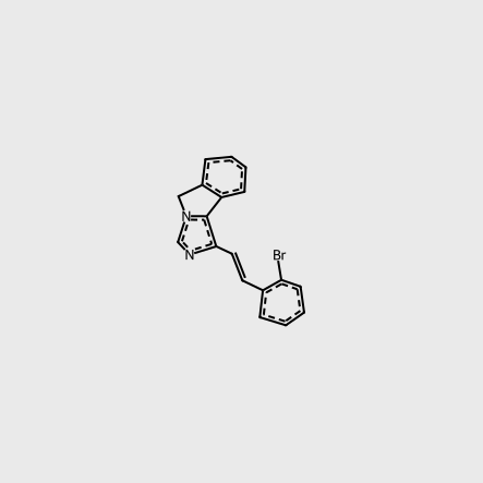 Brc1ccccc1C=Cc1ncn2c1-c1ccccc1C2